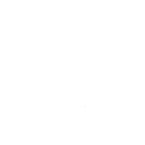 OB(O)c1ccc2c(c1)c1ccccc1n2-c1ccc2ccn(-c3ccccc3)c2c1